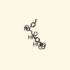 O=C(CCc1cnoc1-c1ccc(F)cc1)Nc1ccc(C[P]2(O)OCCCO2)cc1